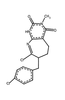 Cn1c(=O)[nH]c2c(c1=O)CCC(Cc1ccc(Cl)cc1)C(Cl)=N2